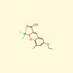 CCOc1cc(C)c2c(c1)C=C(C(=O)O)C(C(F)(F)F)O2